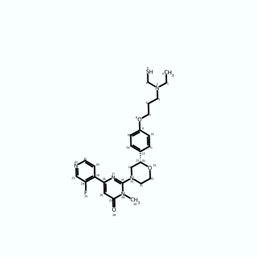 CCN(CS)CCCOc1ccc([C@H]2CN(c3nc(-c4ccncc4F)cc(=O)n3C)CCO2)cc1